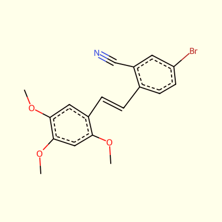 COc1cc(OC)c(OC)cc1C=Cc1ccc(Br)cc1C#N